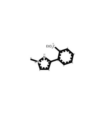 CCOC(=O)c1ccccc1-c1ccn(C)n1